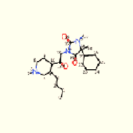 CCCCC1CN(C)CCC1C(=O)CN1C(=O)N(C)C(C)(C2CCCCC2)C1=O